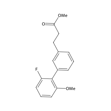 COC(=O)CCc1cccc(-c2c(F)cccc2OC)c1